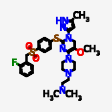 COC1=C(N2CCN(CCN(C)C)CC2)N=C(Sc2ccc(S(=O)(=O)Cc3ccccc3F)cc2)N(c2cc(C)[nH]n2)C1